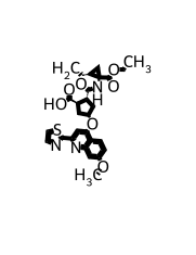 C=C[C@@H]1C[C@]1(NC(=O)[C@@H]1C[C@@H](Oc2cc(-c3nccs3)nc3cc(OC)ccc23)C[C@H]1C(=O)O)C(=O)OCC